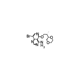 C[C@@H](COc1ncc(Br)c2ncnc(N)c12)[C@@H]1COCCO1